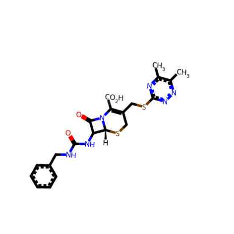 Cc1nnc(SCC2=C(C(=O)O)N3C(=O)C(NC(=O)NCc4ccccc4)[C@H]3SC2)nc1C